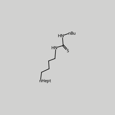 CCCCCCCCCCCNC(=S)NCCCC